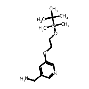 CC(C)(C)[Si](C)(C)OCCOc1cncc(CN)c1